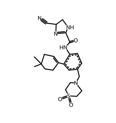 CC1(C)CC=C(c2cc(CN3CCS(=O)(=O)CC3)ccc2NC(=O)C2=NC(C#N)CN2)CC1